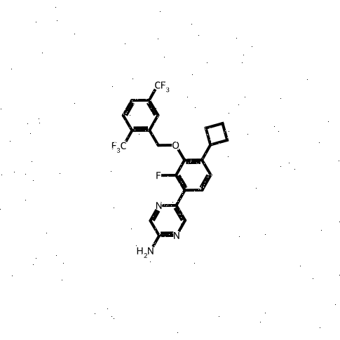 Nc1cnc(-c2ccc(C3CCC3)c(OCc3cc(C(F)(F)F)ccc3C(F)(F)F)c2F)cn1